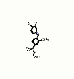 CCN(CCO)c1ccc(/N=C2\C=CC(=O)C(Cl)=C2)c(C)c1